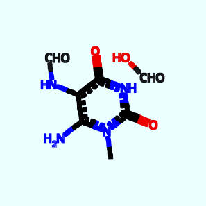 Cn1c(N)c(NC=O)c(=O)[nH]c1=O.O=CO